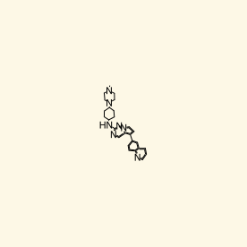 CN1CCN([C@H]2CC[C@@H](Nc3ncc4c(-c5ccc6ncccc6c5)ccn4n3)CC2)CC1